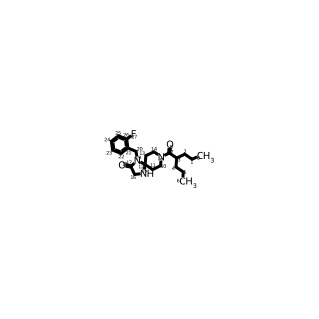 CCCC(CCC)C(=O)N1CCC2(CC1)NCC(=O)N2Cc1ccccc1F